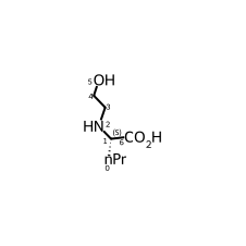 CCC[C@H](NCCO)C(=O)O